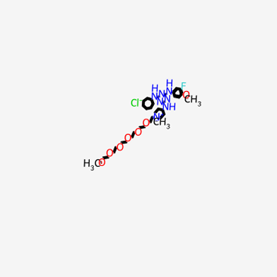 COCCOCCOCCOCCOCCOCC[N+]1(C)CCC(Nc2nc(Nc3ccc(OC)c(F)c3)nc(NC3CCCCCC3)n2)CC1.[Cl-]